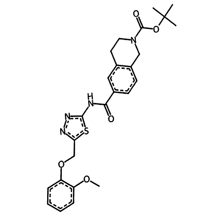 COc1ccccc1OCc1nnc(NC(=O)c2ccc3c(c2)CCN(C(=O)OC(C)(C)C)C3)s1